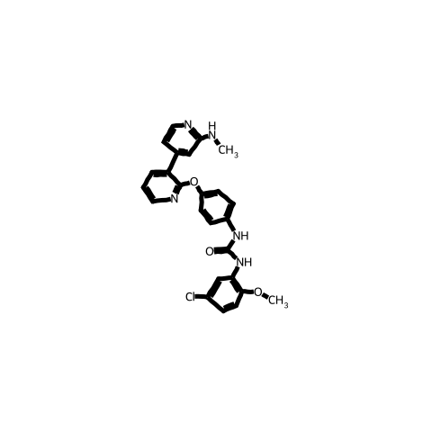 CNc1cc(-c2cccnc2Oc2ccc(NC(=O)Nc3cc(Cl)ccc3OC)cc2)ccn1